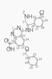 CNCC(Nc1ncnc2c(C(=O)O)cc(OCc3ccccc3)cc12)c1cccc(Cl)c1